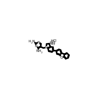 Cl.Cl.Cl.Nc1ncc(CN2CCc3cc(-c4ccc5c(c4)oc4ccccc45)ccc32)c(N)n1